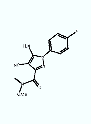 CON(C)C(=O)c1nn(-c2ccc(F)cc2)c(N)c1C#N